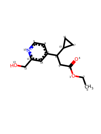 CCOC(=O)CC(c1ccnc(CO)c1)C1CC1